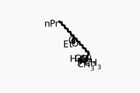 CCC/C=C\CCCCCCCCC(CCCCCCCC/C=C\CCC(C)(C)CC(C)(C)CO)OC(=O)CC